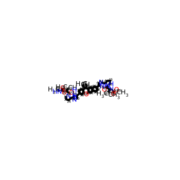 CCC1(CC)c2ccc(-c3cnc([C@@H]4CCCN4C(=O)[C@H](OC(=O)NC)C(C)C)[nH]3)cc2Oc2cc3ccc(-c4cnc(C5CCCN5C(=O)C(NC(=O)OC)C(C)C)[nH]4)cc3cc21